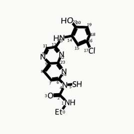 CCNC(=O)N(S)c1ccc2ncc(Nc3cc(Cl)ccc3O)nc2n1